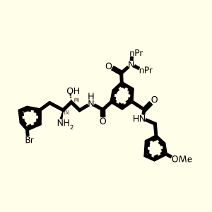 CCCN(CCC)C(=O)c1cc(C(=O)NCc2cccc(OC)c2)cc(C(=O)NC[C@@H](O)[C@@H](N)Cc2cccc(Br)c2)c1